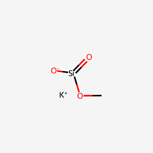 CO[Si](=O)[O-].[K+]